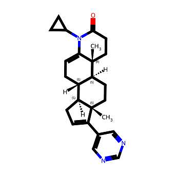 C[C@]12CCC(=O)N(C3CC3)C1=CC[C@@H]1[C@@H]2CC[C@]2(C)C(c3cncnc3)=CC[C@@H]12